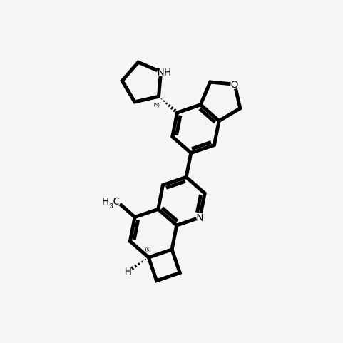 CC1=C[C@@H]2CCC2c2ncc(-c3cc4c(c([C@@H]5CCCN5)c3)COC4)cc21